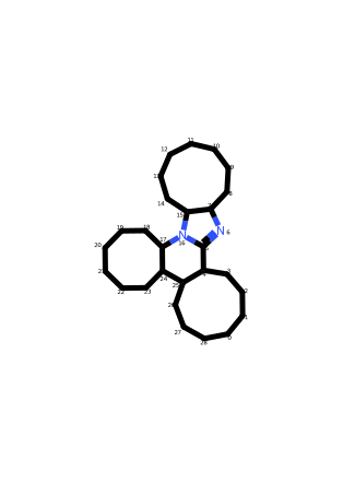 C1CCCC2C3=NC4CCCCCCCC4N3C3CCCCCCC3C2CCC1